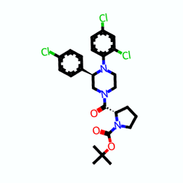 CC(C)(C)OC(=O)N1CCC[C@H]1C(=O)N1CCN(c2ccc(Cl)cc2Cl)[C@H](c2ccc(Cl)cc2)C1